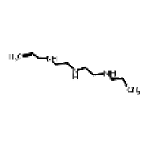 C=CCNCCNCCNCCC